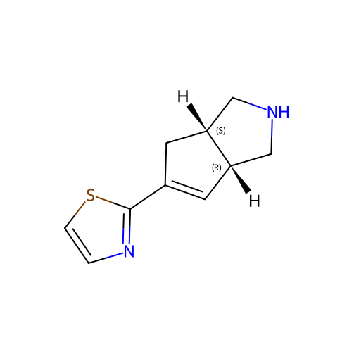 C1=C(c2nccs2)C[C@@H]2CNC[C@H]12